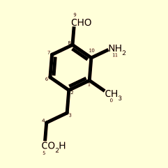 Cc1c(CCC(=O)O)ccc(C=O)c1N